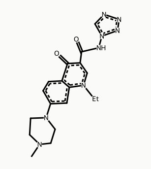 CCn1cc(C(=O)Nn2cnnn2)c(=O)c2ccc(N3CCN(C)CC3)cc21